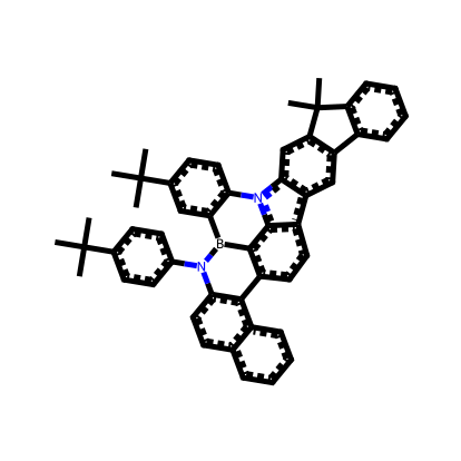 CC(C)(C)c1ccc(N2B3c4cc(C(C)(C)C)ccc4-n4c5cc6c(cc5c5ccc(c3c54)-c3c2ccc2ccccc32)-c2ccccc2C6(C)C)cc1